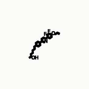 C=CCOc1ccc(-c2ccc(-c3ccc(/C=C/CCCC(C)O)cc3)cn2)c(F)c1F